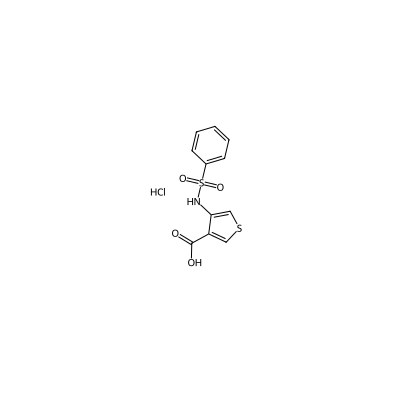 Cl.O=C(O)c1cscc1NS(=O)(=O)c1ccccc1